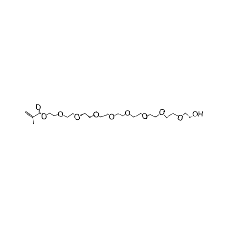 C=C(C)C(=O)OCCOCCOCCOCCOCCOCCOCCOCCOCCO